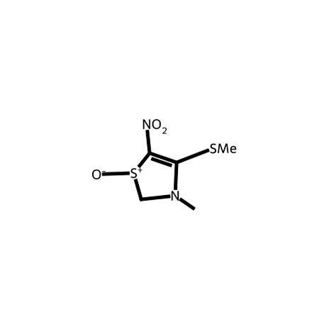 CSC1=C([N+](=O)[O-])[S+]([O-])CN1C